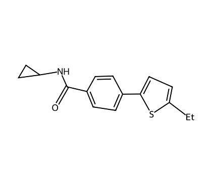 CCc1ccc(-c2ccc(C(=O)NC3CC3)cc2)s1